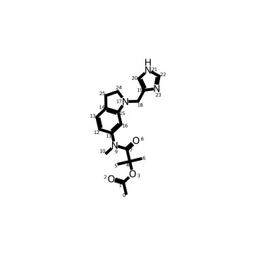 CC(=O)OC(C)(C)C(=O)N(C)c1ccc2c(c1)N(Cc1c[nH]cn1)CC2